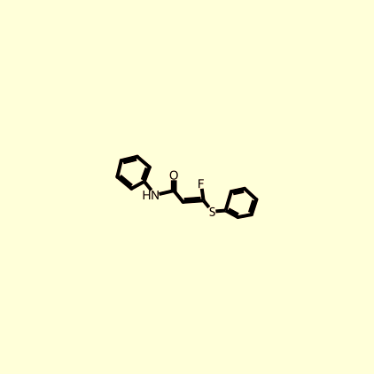 O=C(C=C(F)Sc1ccccc1)Nc1ccccc1